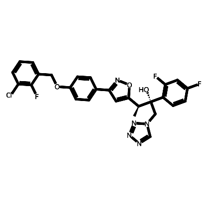 C[C@@H](c1cc(-c2ccc(OCc3cccc(Cl)c3F)cc2)no1)[C@](O)(Cn1cnnn1)c1ccc(F)cc1F